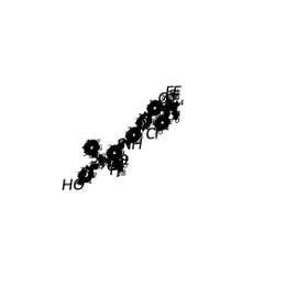 CCn1c(C)c([S+]([O-])C(F)(F)F)c(-c2cccc(N3CCN(c4ccc(NSc5ccc(N[C@H](CCN6CCC(O)CC6)CSc6ccccc6)c(S(=O)(=O)C(F)(F)F)c5)cc4)CC3)c2)c1-c1ccc(Cl)cc1